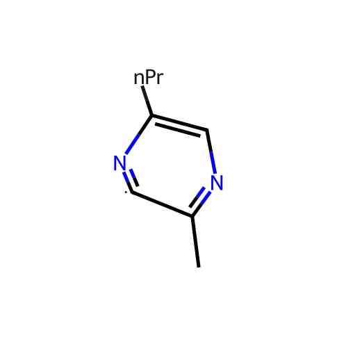 CCCc1cnc(C)[c]n1